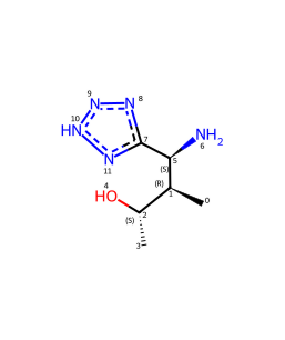 C[C@@H]([C@H](C)O)[C@H](N)c1nn[nH]n1